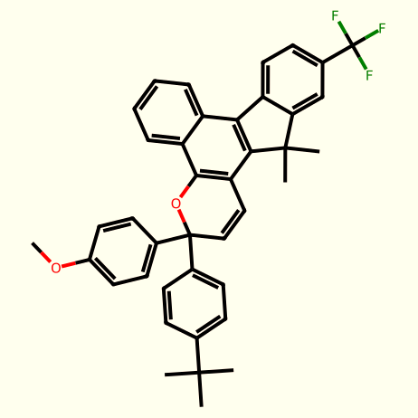 COc1ccc(C2(c3ccc(C(C)(C)C)cc3)C=Cc3c4c(c5ccccc5c3O2)-c2ccc(C(F)(F)F)cc2C4(C)C)cc1